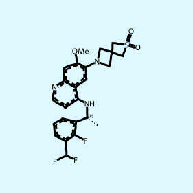 COc1cc2nccc(N[C@H](C)c3cccc(C(F)F)c3F)c2cc1N1CC2(C1)CS(=O)(=O)C2